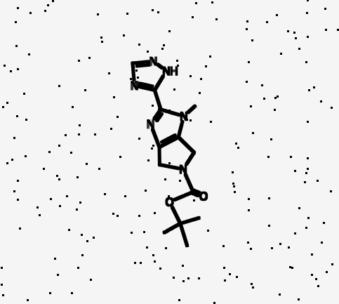 Cn1c(-c2ncn[nH]2)nc2c1CN(C(=O)OC(C)(C)C)C2